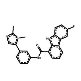 Cc1ncc(-c2cccc(NC(=O)c3cccc4c3[nH]c3ccc(F)cc34)c2)n1C